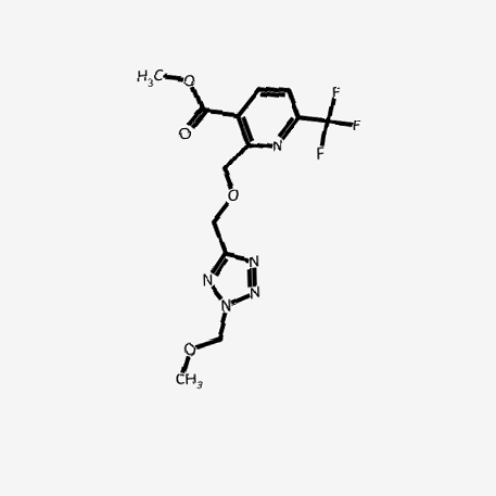 COCn1nnc(COCc2nc(C(F)(F)F)ccc2C(=O)OC)n1